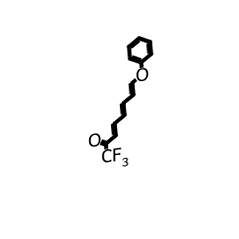 O=C(/C=C/C=C/C=C/Oc1ccccc1)C(F)(F)F